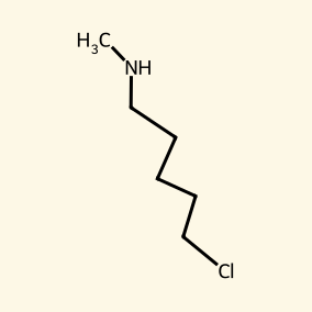 CNCCCCCCl